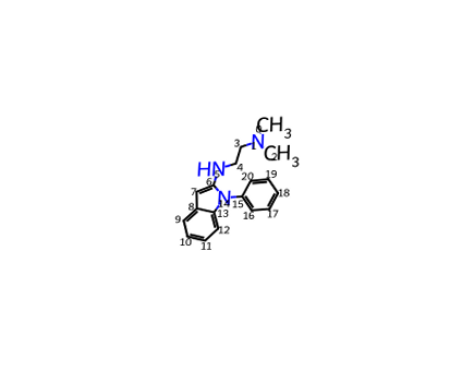 CN(C)CCNc1cc2ccccc2n1-c1ccccc1